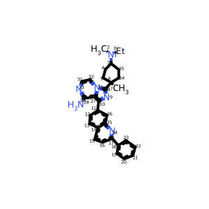 CCN(C)C1CCC(C)(c2nc(-c3ccc4ccc(-c5ccccc5)nc4c3)c3c(N)nccn23)CC1